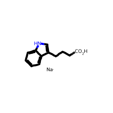 O=C(O)CCCc1c[nH]c2ccccc12.[Na]